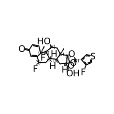 C[C@]12C=CC(=O)C=C1[C@@H](F)C[C@H]1[C@@H]3C[C@H]4O[C@@H](c5cscc5F)O[C@@]4(C(=O)CO)[C@@]3(C)C[C@H](O)[C@@]12F